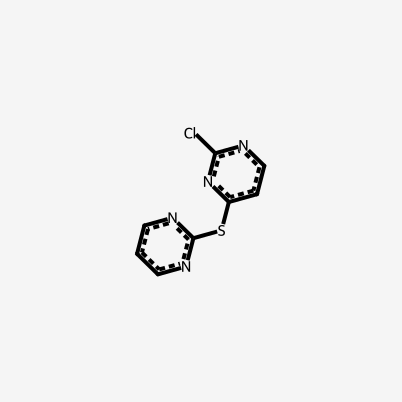 Clc1nccc(Sc2ncccn2)n1